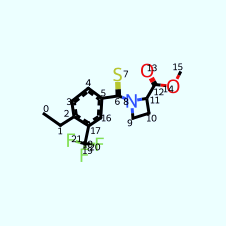 CCc1ccc(C(=S)N2CCC2C(=O)OC)cc1C(F)(F)F